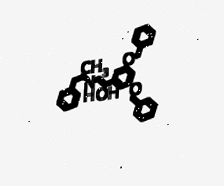 CC(Cc1ccccc1)NC[C@H](O)c1cc(OCc2ccccc2)cc(OCc2ccccc2)c1